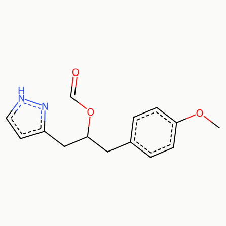 COc1ccc(CC(Cc2cc[nH]n2)OC=O)cc1